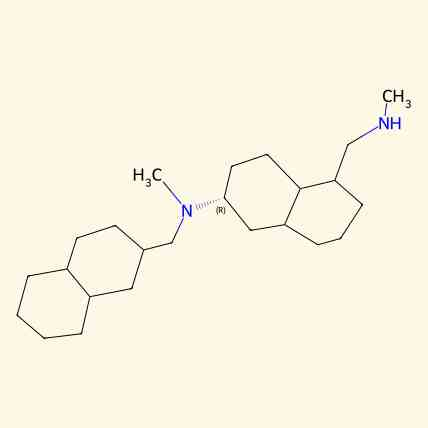 CNCC1CCCC2C[C@H](N(C)CC3CCC4CCCCC4C3)CCC12